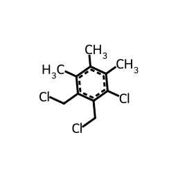 Cc1c(C)c(Cl)c(CCl)c(CCl)c1C